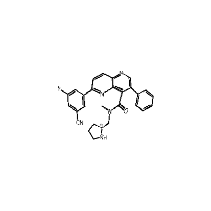 CN(C[C@@H]1CCCN1)C(=O)c1c(-c2ccccc2)cnc2ccc(-c3cc(F)cc(C#N)c3)nc12